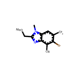 COCc1nc2c(C#N)c(Br)c(C(F)(F)F)cc2n1C